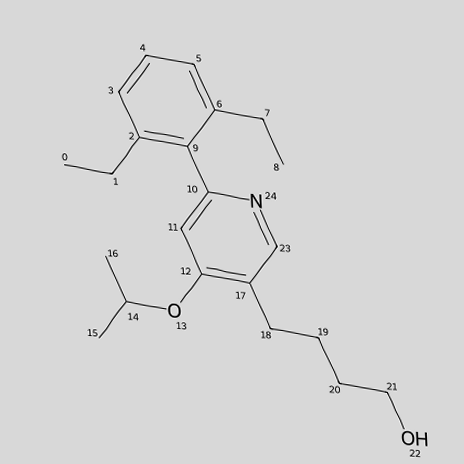 CCc1cccc(CC)c1-c1cc(OC(C)C)c(CCCCO)cn1